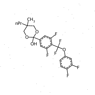 CCCC1(C)COC(O)(c2cc(F)c(C(F)(F)Oc3ccc(F)c(F)c3)c(F)c2)OC1